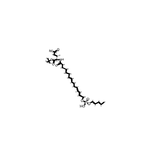 CCCCCOP(=O)(O)OCCCCCCCCCCCCCCCC(=O)N[C@@H](CCC(=O)O)C(=O)OC(C)(C)C